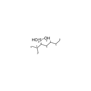 CCCCCC(C)C.O=S(=O)(O)O